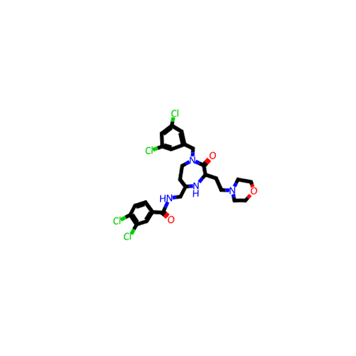 O=C(NCC1CCN(Cc2cc(Cl)cc(Cl)c2)C(=O)C(CCN2CCOCC2)N1)c1ccc(Cl)c(Cl)c1